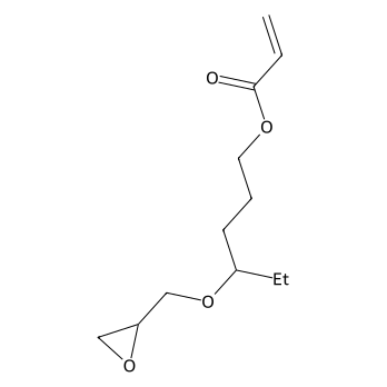 [CH2]CC(CCCOC(=O)C=C)OCC1CO1